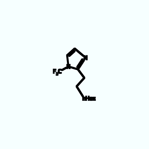 CCCCCCCCc1nccn1C(F)(F)F